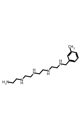 Cc1cccc(CNCCNCCNCCNCCN)c1